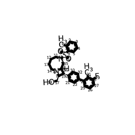 Cc1ccccc1S(=O)(=O)N1CCCCN2[C@H](CO)[C@@H](c3ccc(-c4cccc(F)c4C)cc3)[C@@H]2C1